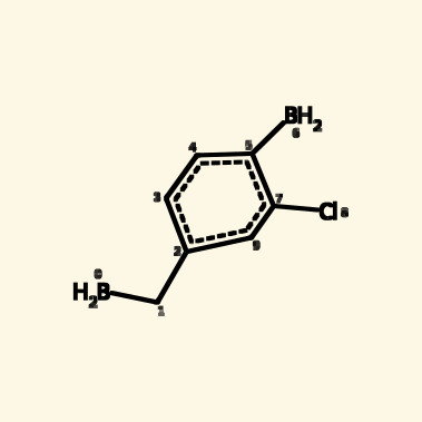 BCc1ccc(B)c(Cl)c1